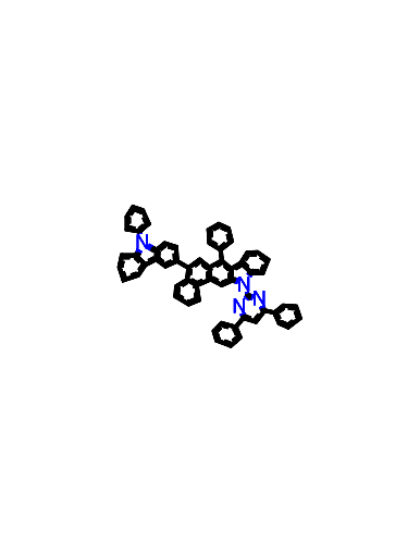 c1ccc(-c2cc(-c3ccccc3)nc(-n3c4ccccc4c4c(-c5ccccc5)c5cc(-c6ccc7c(c6)c6ccccc6n7-c6ccccc6)c6ccccc6c5cc43)n2)cc1